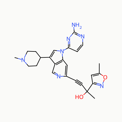 Cc1cc(C(C)(O)C#Cc2cc3c(cn2)c(C2CCN(C)CC2)cn3-c2ccnc(N)n2)no1